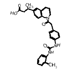 Cc1ccccc1NC(=O)Nc1ccc(CC(=O)N2CCCc3cc([C@H](C)CC(=O)O)ccc32)cc1